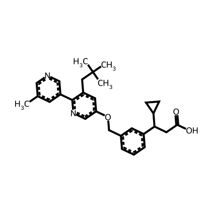 Cc1cncc(-c2ncc(OCc3cccc(C(CC(=O)O)C4CC4)c3)cc2CC(C)(C)C)c1